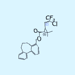 CC1(C)C(/C=C(\Cl)C(F)(F)F)[C@@H]1C(=O)OCc1cccc2c1CCCc1ccccc1-2